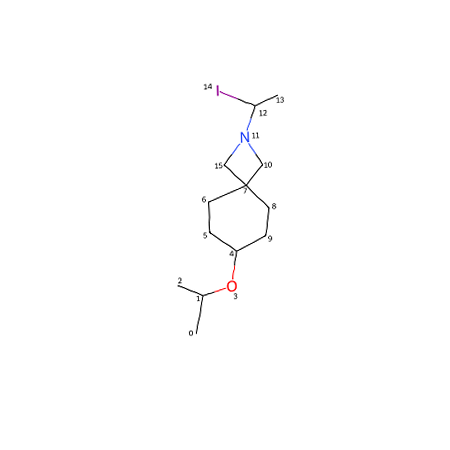 CC(C)OC1CCC2(CC1)CN(C(C)I)C2